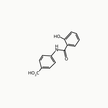 O=C(O)c1ccc(NC(=O)c2ccccc2O)cc1